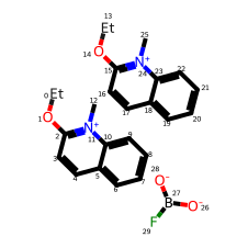 CCOc1ccc2ccccc2[n+]1C.CCOc1ccc2ccccc2[n+]1C.[O-]B([O-])F